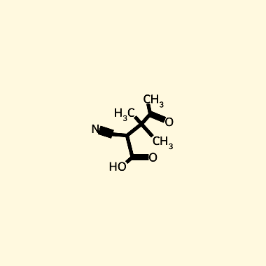 CC(=O)C(C)(C)C(C#N)C(=O)O